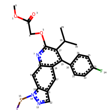 COC(=O)COc1nc2cc3c(cnn3SI)cc2c(-c2ccc(F)cc2)c1C(C)C